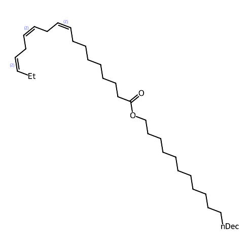 CC/C=C\C/C=C\C/C=C\CCCCCCCC(=O)OCCCCCCCCCCCCCCCCCCCCC